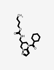 CCCCOC(=O)NCC1CN(C(=O)C2CCCCC2)c2ccnn2C1